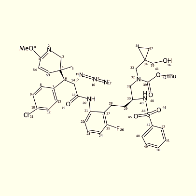 COC1=NCC(C)([C@H](c2ccc(Cl)cc2)[C@H](N=[N+]=[N-])C(=O)Nc2cccc(F)c2CC[C@@H](CN(CC2(CO)CC2)C(=O)OC(C)(C)C)NS(=O)(=O)c2ccccc2)C=C1